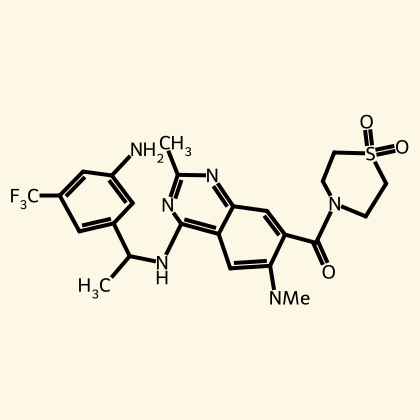 CNc1cc2c(NC(C)c3cc(N)cc(C(F)(F)F)c3)nc(C)nc2cc1C(=O)N1CCS(=O)(=O)CC1